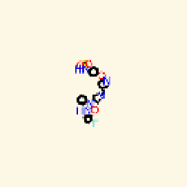 CS(=O)(=O)Nc1ccc(Oc2ccc(CN3CCC(N(C(=O)Nc4cccc(F)c4)c4ccccc4)CC3)cn2)cc1